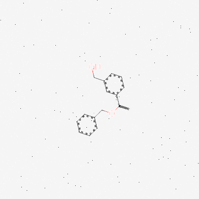 C=C(OCc1ccccc1)c1cccc(CO)c1